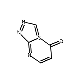 O=C1C=CN=C2N=NC=S12